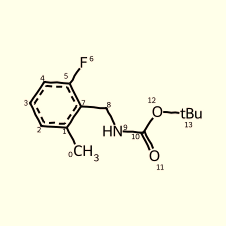 Cc1cccc(F)c1CNC(=O)OC(C)(C)C